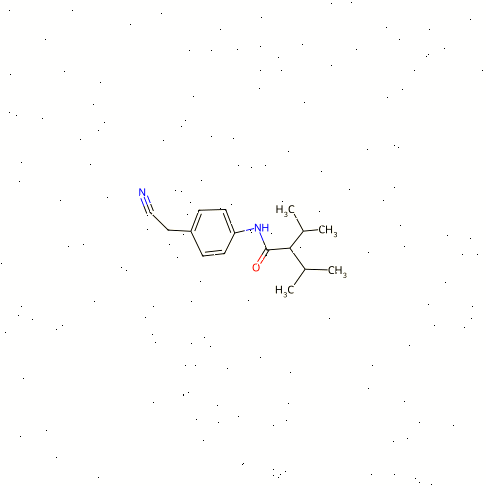 CC(C)C(C(=O)Nc1ccc(CC#N)cc1)C(C)C